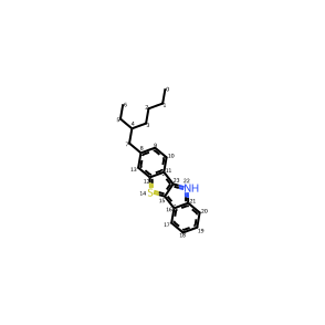 CCCCC(CC)Cc1ccc2c(c1)sc1c3ccccc3[nH]c21